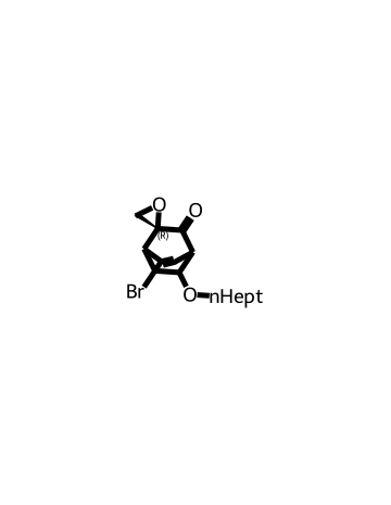 CCCCCCCOC1CC2C(Br)=CC1C(=O)[C@]21CO1